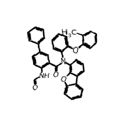 Cc1ccccc1Oc1ccccc1N(C(=O)c1cc(-c2ccccc2)ccc1NC=O)c1cccc2c1oc1ccccc12